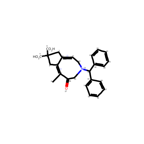 C/C1=C2\CC(C(=O)O)(C(=O)O)C\C2=C\CN(C(c2ccccc2)c2ccccc2)CC1=O